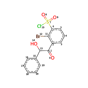 O=C(c1cccc(S(=O)(=O)Cl)c1Br)C(O)c1ccccc1